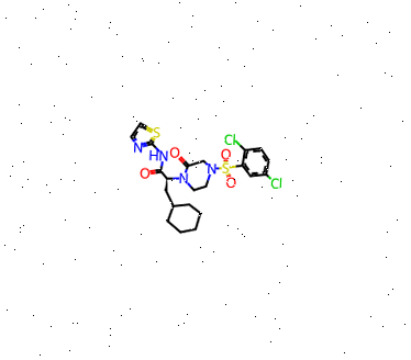 O=C(Nc1nccs1)[C@H](CC1CCCCC1)N1CCN(S(=O)(=O)c2cc(Cl)ccc2Cl)CC1=O